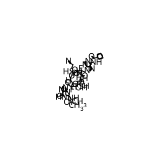 CC(C)C(=O)Nc1nc2c(ncn2[C@@H]2O[C@@H]3CO[PH](S)(OCCC#N)O[C@H]4[C@@H](F)[C@H](n5cnc6c(NC(=O)c7ccccc7)ncnc65)O[C@@H]4CO[PH](O)(S)O[C@H]3[C@H]2F)c(=O)[nH]1